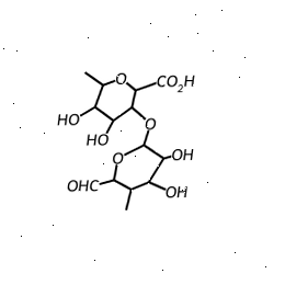 CC1OC(C(=O)O)C(OC2OC(C=O)C(C)C(O)C2O)C(O)C1O